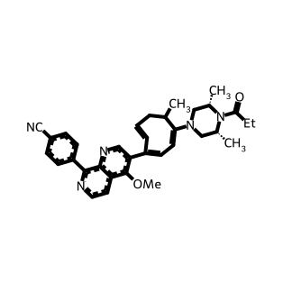 CCC(=O)N1[C@H](C)CN(/C2=C/C=C(c3cnc4c(-c5ccc(C#N)cc5)nccc4c3OC)\C=C\CC2C)C[C@@H]1C